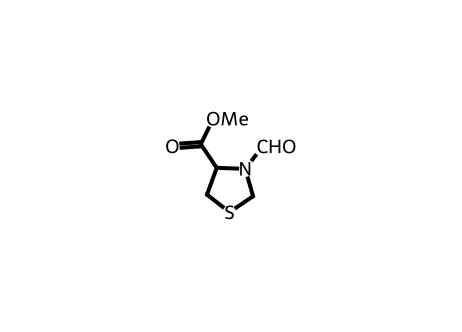 COC(=O)C1CSCN1C=O